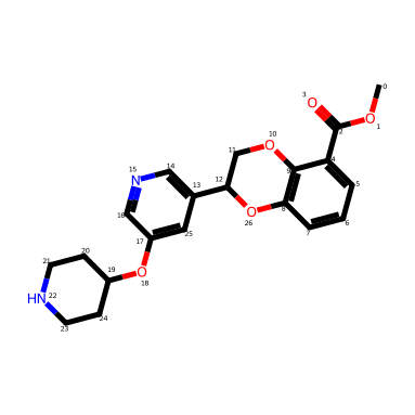 COC(=O)c1cccc2c1OCC(c1cncc(OC3CCNCC3)c1)O2